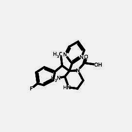 CC(c1ccc(F)cc1)C1(c2ncccn2)C(N)NCCN1C(=O)O